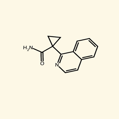 NC(=O)C1(c2nccc3ccccc23)CC1